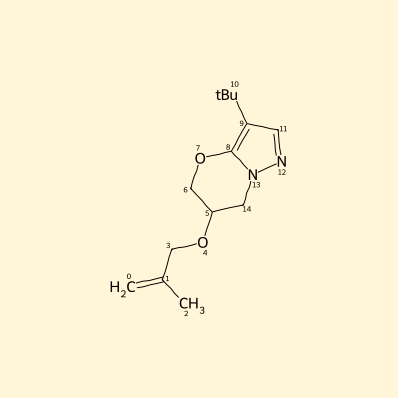 C=C(C)COC1COc2c(C(C)(C)C)cnn2C1